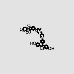 CCC(=C(c1ccc(O)cc1)c1ccc(N2CCC(CN3C(C)CN(c4ccc5c(c4)C(=O)N(C4CCC(=O)NC4=O)C5=O)CC3C)CC2)cc1)c1ccc(O)cc1